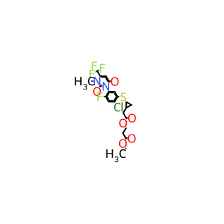 CCOC(=O)CCOC(=O)CC1CC1Sc1cc(-n2c(=O)cc(C(F)(F)F)n(C)c2=O)c(F)cc1Cl